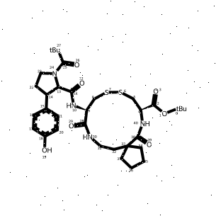 CC(C)(C)OC(=O)[C@@H]1CSSC[C@H](NC(=O)C2C(c3ccc(O)cc3)CCN2C(=O)C(C)(C)C)C(=O)NCCC2(CCCC2)C(=O)N1